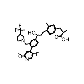 COc1cc(-c2ccc(C(O)CCc3ccc(CC(C)C(=O)O)cc3C)cc2CN2CCC(C(F)(F)F)C2)c(F)cn1